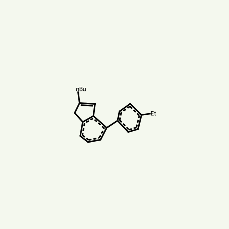 CCCCC1=Cc2c(cccc2-c2ccc(CC)cc2)[CH]1